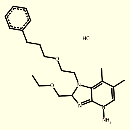 CCOCC1N=C2C(=C(C)C(C)=CN2N)N1CCOCCCc1ccccc1.Cl